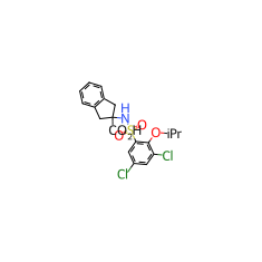 CC(C)Oc1c(Cl)cc(Cl)cc1S(=O)(=O)NC1(C(=O)O)Cc2ccccc2C1